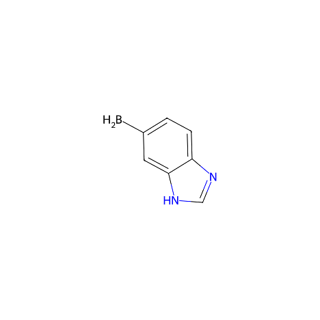 Bc1ccc2nc[nH]c2c1